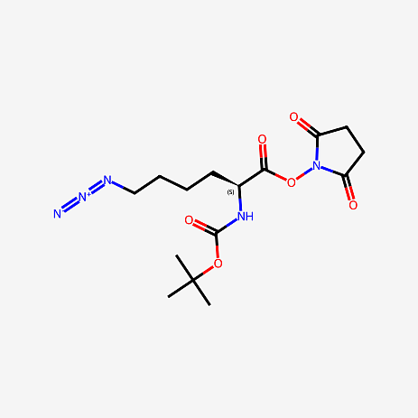 CC(C)(C)OC(=O)N[C@@H](CCCCN=[N+]=[N-])C(=O)ON1C(=O)CCC1=O